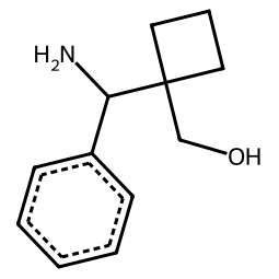 NC(c1ccccc1)C1(CO)CCC1